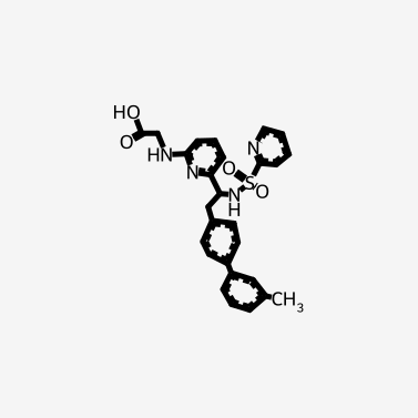 Cc1cccc(-c2ccc(CC(NS(=O)(=O)c3ccccn3)c3cccc(NCC(=O)O)n3)cc2)c1